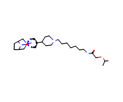 CC(C)OCC(=O)NCCCCCCCN1CCC(c2cnc(N3C4CCC3CN(I)C4)nc2)CC1